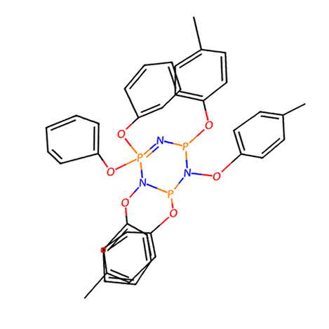 Cc1ccc(ON2P(Oc3ccc(C)cc3)N=P(Oc3ccccc3)(Oc3ccccc3)N(Oc3ccccc3)P2Oc2ccc(C)cc2)cc1